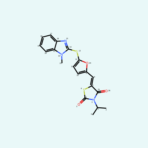 CC(C)N1C(=O)S/C(=C\c2ccc(Sc3nc4ccccc4n3C)o2)C1=O